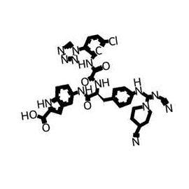 N#C/N=C(/Nc1ccc(C[C@H](NC(=O)C(=O)Nc2cc(Cl)ccc2-n2cnnn2)C(=O)Nc2ccc3[nH]c(C(=O)O)cc3c2)cc1)N1CCC(C#N)CC1